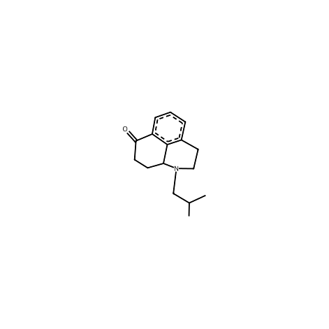 CC(C)CN1CCc2cccc3c2C1CCC3=O